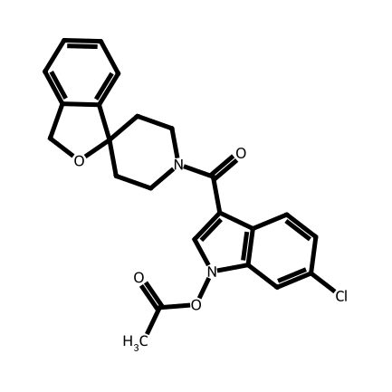 CC(=O)On1cc(C(=O)N2CCC3(CC2)OCc2ccccc23)c2ccc(Cl)cc21